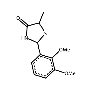 COc1cccc(C2NC(=O)C(C)S2)c1OC